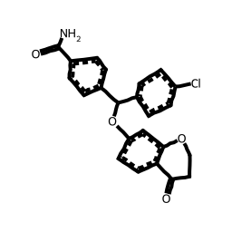 NC(=O)c1ccc(C(Oc2ccc3c(c2)OCCC3=O)c2ccc(Cl)cc2)cc1